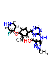 Cn1cc(Nc2ncnc(-c3ccc(O[C@H]4CCNC[C@H]4F)c(C#N)c3)n2)c(CO)n1